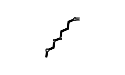 COCSSCCCO